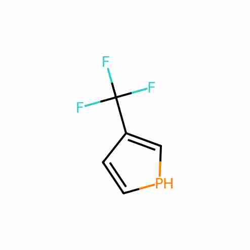 FC(F)(F)c1cc[pH]c1